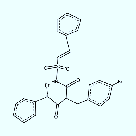 CCN(C(=O)C(Cc1ccc(Br)cc1)C(=O)NS(=O)(=O)/C=C/c1ccccc1)c1ccccc1